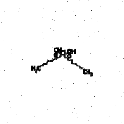 CCCCCCCCCCCc1c(C(=O)O)ccc(C(=O)O)c1CCCCCCCCCCC